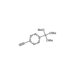 C#Cc1ccc([Si](OC)(OC)OC)cc1